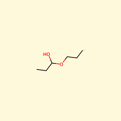 [CH2]CCOC(O)CC